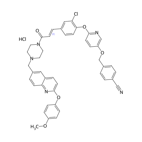 COc1ccc(Oc2ccc3cc(CN4CCN(C(=O)/C=C/c5ccc(Oc6ccc(OCc7ccc(C#N)cc7)cn6)c(Cl)c5)CC4)ccc3n2)cc1.Cl